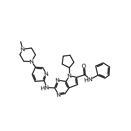 CN1CCN(c2ccc(Nc3ncc4cc(C(=O)Nc5ccccc5)n(C5CCCC5)c4n3)nc2)CC1